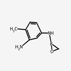 Cc1ccc(NB2CO2)cc1N